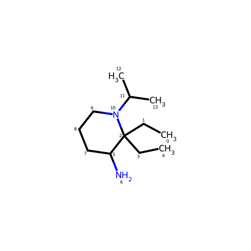 CCC1(CC)C(N)CCCN1C(C)C